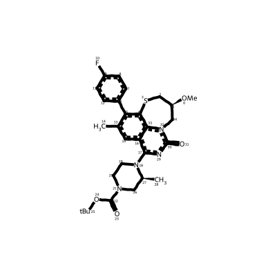 CO[C@@H]1CSc2c(-c3ccc(F)cc3)c(C)cc3c(N4CCN(C(=O)OC(C)(C)C)C[C@@H]4C)nc(=O)n(c23)C1